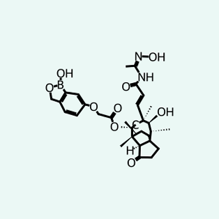 C/C(=N/O)NC(=O)/C=C/[C@]1(C)C[C@@H](OC(=O)COc2ccc3c(c2)B(O)OC3)[C@]2(C)[C@H](C)CC[C@]3(CCC(=O)[C@H]32)[C@@H](C)[C@@H]1O